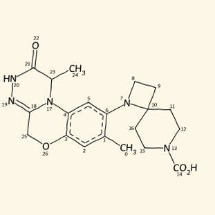 Cc1cc2c(cc1N1CCC13CCN(C(=O)O)CC3)N1C(=NNC(=O)C1C)CO2